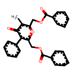 Cc1c(COC(=O)c2ccccc2)oc(COC(=O)c2ccccc2)c(-c2ccccc2)c1=O